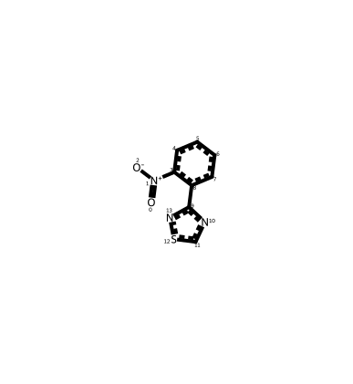 O=[N+]([O-])c1ccccc1-c1ncsn1